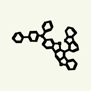 C1=Cc2c(sc3c(-c4c5oc6cc(N(c7ccccc7)c7ccc(-c8ccccc8)cc7)ccc6c5cc5oc6ccccc6c45)cccc23)CC1